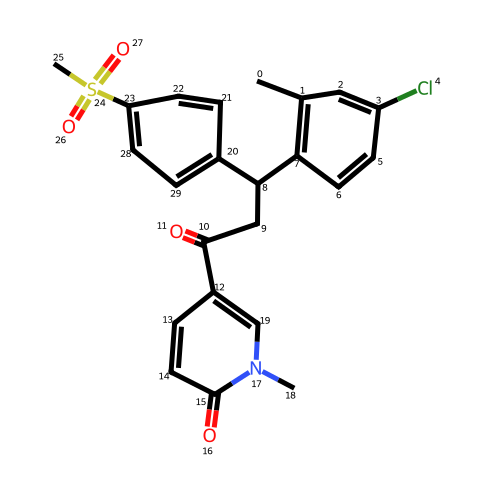 Cc1cc(Cl)ccc1C(CC(=O)c1ccc(=O)n(C)c1)c1ccc(S(C)(=O)=O)cc1